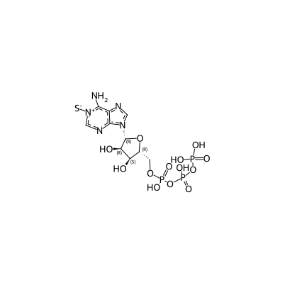 Nc1c2ncn([C@@H]3O[C@H](COP(=O)(O)OP(=O)(O)OP(=O)(O)O)[C@@H](O)[C@H]3O)c2nc[n+]1[S-]